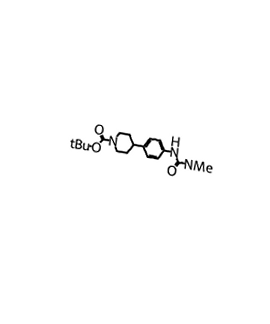 CNC(=O)Nc1ccc(C2CCN(C(=O)OC(C)(C)C)CC2)cc1